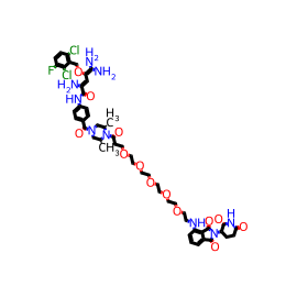 C[C@@H]1CN(C(=O)c2ccc(NC(=O)/C(N)=C/C(OCc3c(Cl)ccc(F)c3Cl)=C(N)N)cc2)C[C@H](C)N1C(=O)CCOCCOCCOCCOCCOCCNc1cccc2c1C(=O)N(C1CCC(=O)NC1=O)C2=O